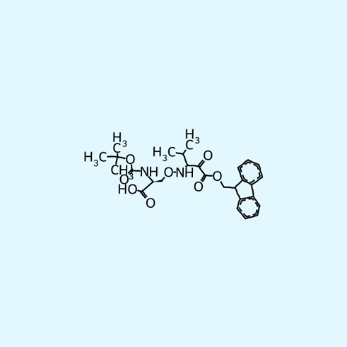 CC(C)[C@H](NOC[C@H](NC(=O)OC(C)(C)C)C(=O)O)C(=O)C(=O)OCC1c2ccccc2-c2ccccc21